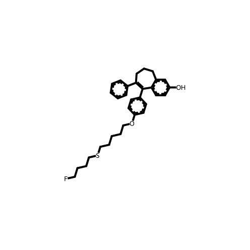 Oc1ccc2c(c1)CCCC(c1ccccc1)=C2c1ccc(OCCCCCSCCCCF)cc1